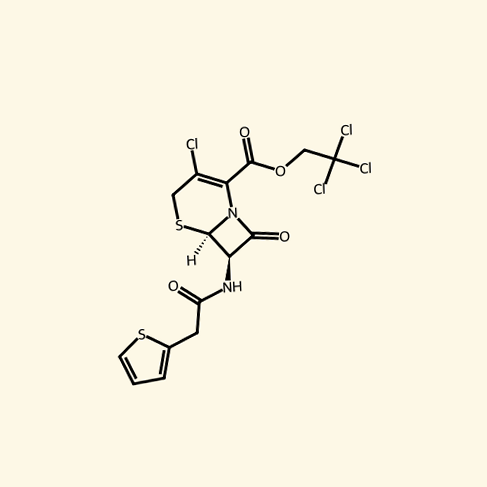 O=C(Cc1cccs1)N[C@@H]1C(=O)N2C(C(=O)OCC(Cl)(Cl)Cl)=C(Cl)CS[C@H]12